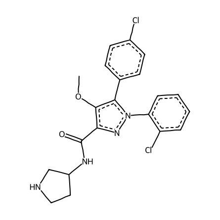 COc1c(C(=O)NC2CCNC2)nn(-c2ccccc2Cl)c1-c1ccc(Cl)cc1